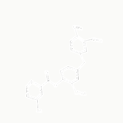 CCCCCc1cc(Cc2ccc(OC(=O)c3cccc(C(C)=O)c3)c(CCCCC)c2)ccc1OC